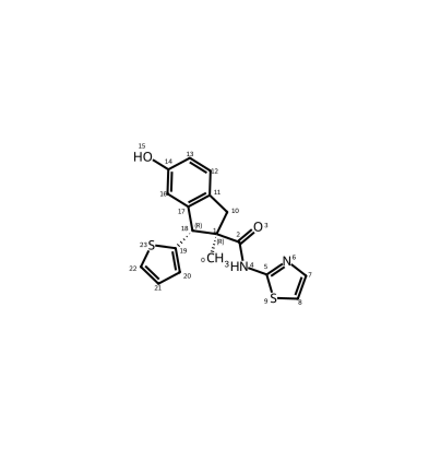 C[C@@]1(C(=O)Nc2nccs2)Cc2ccc(O)cc2[C@H]1c1cccs1